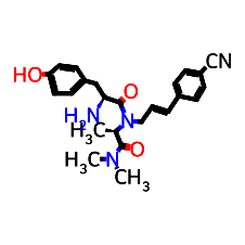 C[C@H](C(=O)N(C)C)N(C/C=C/c1ccc(C#N)cc1)C(=O)[C@@H](N)Cc1ccc(O)cc1